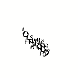 CCCCOc1c2n(cc(C(=O)NNC(=S)Cc3ccc(F)cc3)c1=O)C[C@@H]1OCC[C@@H](C)N1C2=O